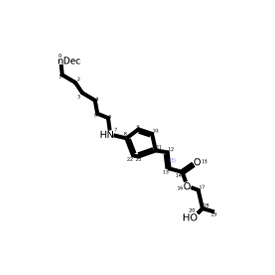 CCCCCCCCCCCCCCCCNc1ccc(/C=C/C(=O)OCC(C)O)cc1